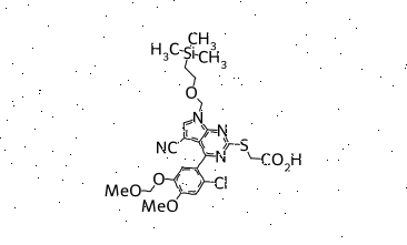 COCOc1cc(-c2nc(SCC(=O)O)nc3c2c(C#N)cn3COCC[Si](C)(C)C)c(Cl)cc1OC